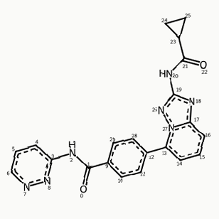 O=C(Nc1cccnn1)c1ccc(-c2cccc3nc(NC(=O)C4CC4)nn23)cc1